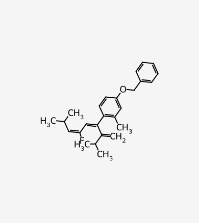 C=C(/C(=C\C(F)=C/C(C)C)c1ccc(OCc2ccccc2)cc1C)C(C)C